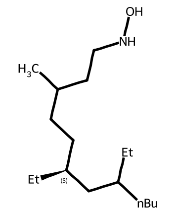 CCCCC(CC)C[C@@H](CC)CCC(C)CCNO